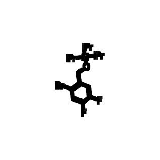 CC(C)[Si](OCc1cc(F)c(F)cc1Br)(C(C)C)C(C)C